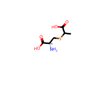 CC(SC[C@H](N)C(=O)O)C(=O)O